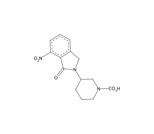 O=C(O)N1CCCC(N2Cc3cccc([N+](=O)[O-])c3C2=O)C1